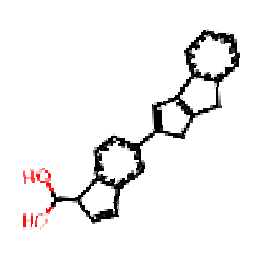 OC(O)C1C=Cc2cc(C3=CC4=C(C3)Cc3ccccc34)ccc21